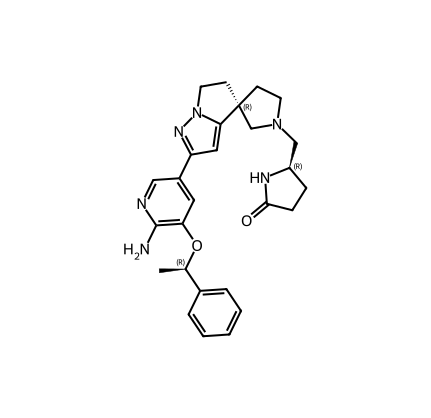 C[C@@H](Oc1cc(-c2cc3n(n2)CC[C@@]32CCN(C[C@H]3CCC(=O)N3)C2)cnc1N)c1ccccc1